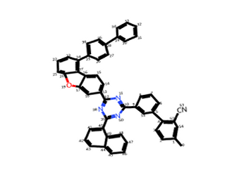 Cc1ccc(-c2cccc(-c3nc(-c4ccc5c(c4)oc4cccc(-c6ccc(-c7ccccc7)cc6)c45)nc(-c4cccc5ccccc45)n3)c2)c(C#N)c1